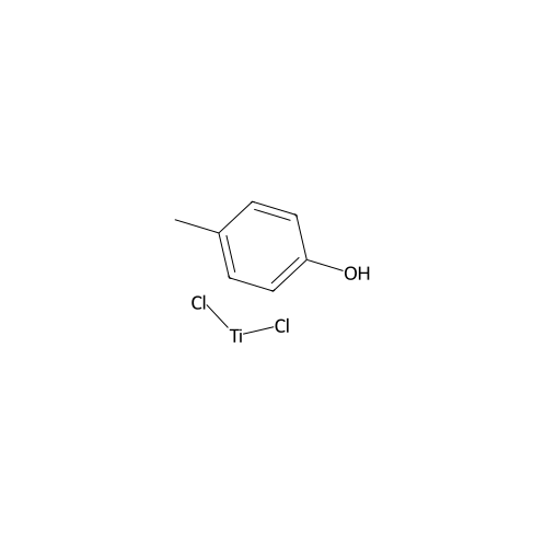 Cc1ccc(O)cc1.[Cl][Ti][Cl]